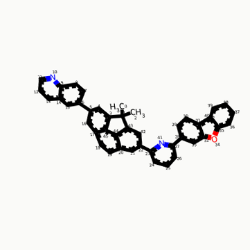 CC1(C)c2cc(-c3ccc4ncccc4c3)cc3ccc4cc(-c5cccc(-c6ccc7c(c6)oc6ccccc67)n5)cc1c4c23